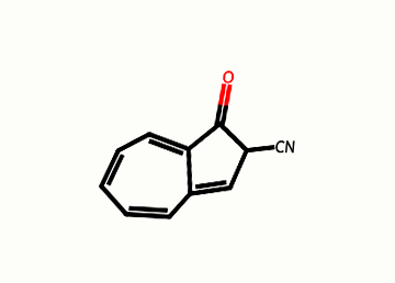 N#CC1C=C2C=CC=CC=C2C1=O